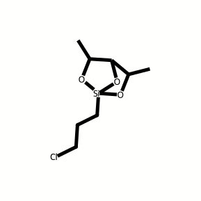 CC1O[Si]2(CCCCl)OC(C)C1O2